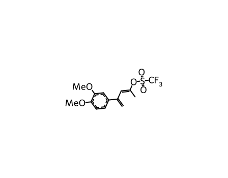 C=C(/C=C(\C)OS(=O)(=O)C(F)(F)F)c1ccc(OC)c(OC)c1